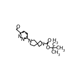 CC(C)(C)OC(=O)N1CC2(CCN(c3ccc(C=O)nn3)C2)C1